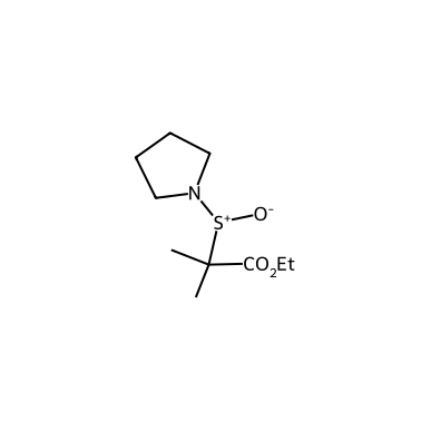 CCOC(=O)C(C)(C)[S+]([O-])N1CCCC1